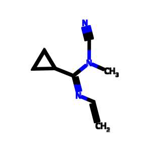 C=C/N=C(/C1CC1)N(C)C#N